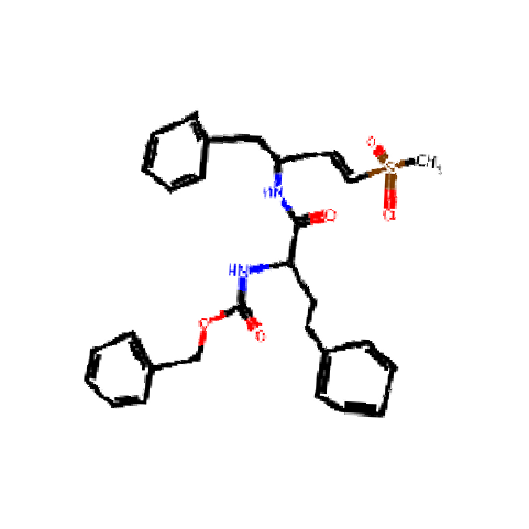 CS(=O)(=O)/C=C/C(Cc1ccccc1)NC(=O)C(CCc1ccccc1)NC(=O)OCc1ccccc1